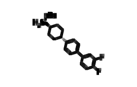 CCCC[SiH2][C@H]1CC[C@H](c2ccc(-c3ccc(F)c(F)c3)cc2)CC1